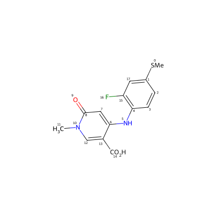 CSc1ccc(Nc2cc(=O)n(C)cc2C(=O)O)c(F)c1